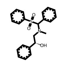 CN(C[C@H](O)c1ccccc1)C(c1ccccc1)S(=O)(=O)c1ccccc1